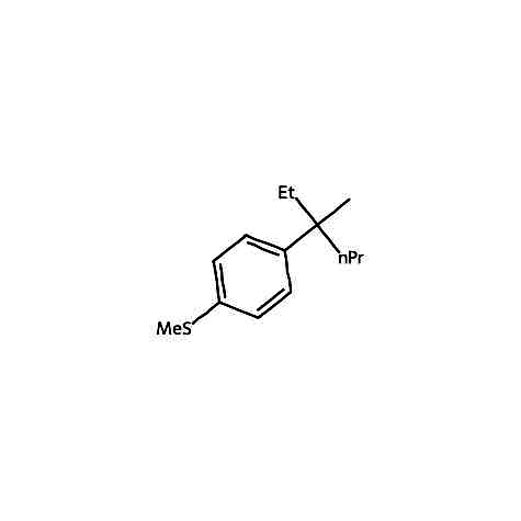 CCCC(C)(CC)c1ccc(SC)cc1